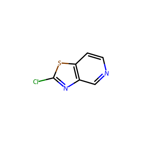 Clc1nc2cnccc2s1